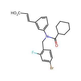 O=C(O)C=Cc1cccc(N(Cc2ccc(Br)cc2F)C(=O)C2CCCCC2)c1